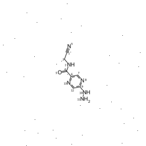 N#CCNC(=O)c1cnc(NN)cn1